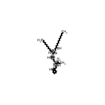 CCCCCCCCCCCCCC(O)CCNC(=O)[C@H](COP(=O)(O)OCCNC(=O)[C@@H](NC(=O)Cc1c[nH]c2ccccc12)[C@@H](C)CC)NC(=O)CCCCCCCCCCC